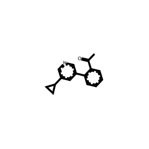 CC(=O)c1ccccc1-c1cncc(C2[CH]C2)c1